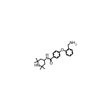 CC1(C)CC(NC(=O)c2ccc(Oc3ccccc3CN)cc2)CC(C)(C)N1